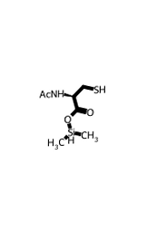 CC(=O)N[C@@H](CS)C(=O)O[SiH](C)C